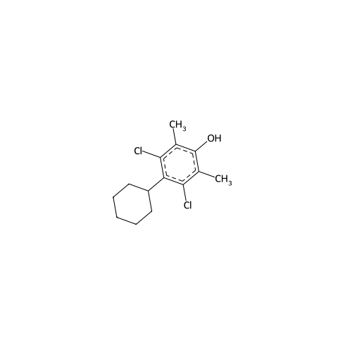 Cc1c(O)c(C)c(Cl)c(C2CCCCC2)c1Cl